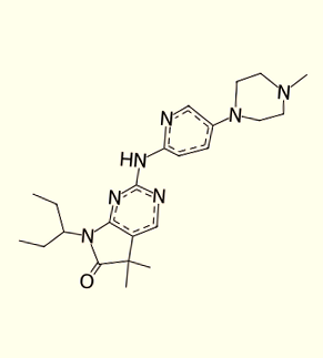 CCC(CC)N1C(=O)C(C)(C)c2cnc(Nc3ccc(N4CCN(C)CC4)cn3)nc21